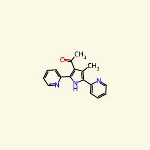 CC(=O)c1c(-c2ccccn2)[nH]c(-c2ccccn2)c1C